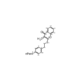 CCCCCc1ccc(CCSc2oc3ccccc3c(=O)c2C)cc1